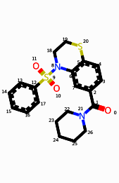 O=C(c1ccc2c(c1)N(S(=O)(=O)c1ccccc1)CCS2)N1CCCCC1